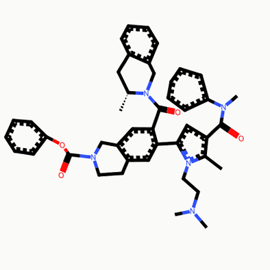 Cc1c(C(=O)N(C)c2ccccc2)cc(-c2cc3c(cc2C(=O)N2Cc4ccccc4C[C@H]2C)CN(C(=O)Oc2ccccc2)CC3)n1CCN(C)C